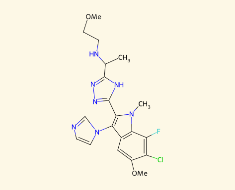 COCCNC(C)c1nnc(-c2c(-n3ccnc3)c3cc(OC)c(Cl)c(F)c3n2C)[nH]1